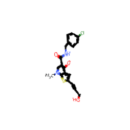 Cn1cc(C(=O)NCc2ccc(Cl)cc2)c(=O)c2cc(C#CCO)sc21